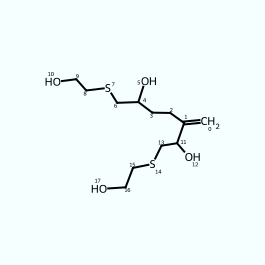 C=C(CCC(O)CSCCO)C(O)CSCCO